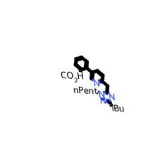 CCCCCn1nc(C(C)CC)nc1Cc1ccc(-c2ccccc2C(=O)O)cn1